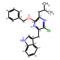 CC(C)Cc1nc(Br)c(Cc2c[nH]c3ccccc23)nc1OCc1ccccc1